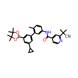 Cc1ccc(NC(=O)c2ccnc(C(C)(C)C#N)c2)cc1-c1cc(B2OC(C)(C)C(C)(C)O2)cc(C2CC2)c1